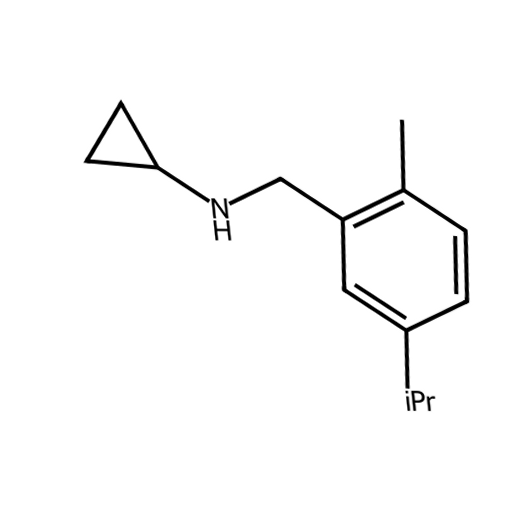 Cc1ccc(C(C)C)cc1CNC1CC1